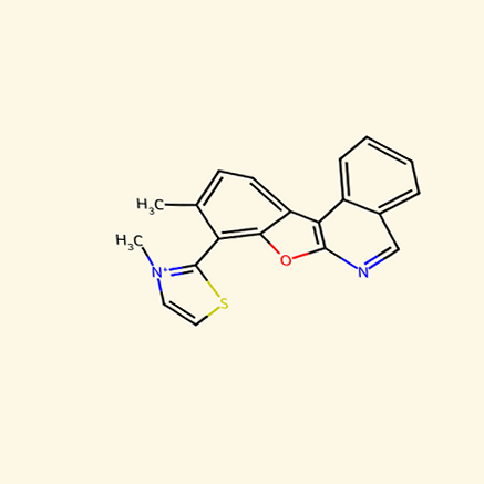 Cc1ccc2c(oc3ncc4ccccc4c32)c1-c1scc[n+]1C